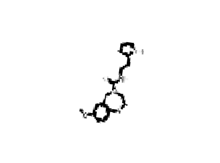 COc1ccc2c(c1)CN(C(=O)NCCc1ccc[nH]1)CCS2